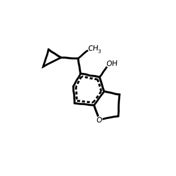 CC(c1ccc2c(c1O)CCO2)C1CC1